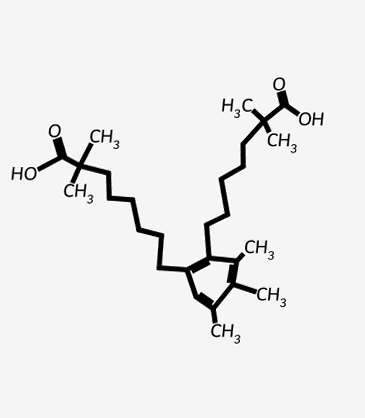 Cc1cc(CCCCCCC(C)(C)C(=O)O)c(CCCCCC(C)(C)C(=O)O)c(C)c1C